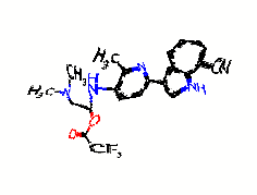 Cc1nc(-c2c[nH]c3c(C#N)cccc23)ccc1NC(CN(C)C)OC(=O)C(F)(F)F